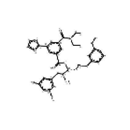 CCc1cccc(CNC[C@@H](OC(=O)c2cc(C(=O)N(CC)CC)cc(-c3ncco3)c2)[C@@H](N)Cc2cc(F)cc(F)c2)c1